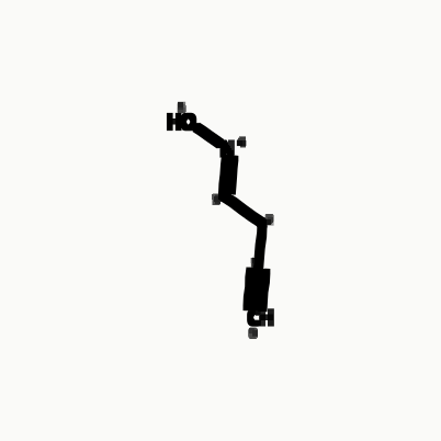 C#CCC=NO